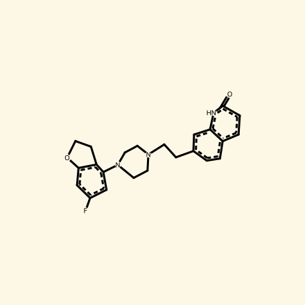 O=c1ccc2ccc(CCN3CCN(c4cc(F)cc5c4CCO5)CC3)cc2[nH]1